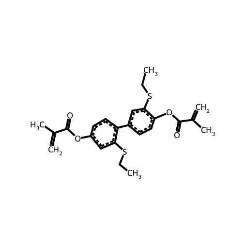 C=C(C)C(=O)Oc1ccc(-c2ccc(OC(=O)C(=C)C)c(SCC)c2)c(SCC)c1